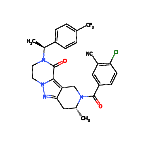 C[C@@H]1Cc2nn3c(c2CN1C(=O)c1ccc(Cl)c(C#N)c1)C(=O)N([C@@H](C)c1ccc(C(F)(F)F)cc1)CC3